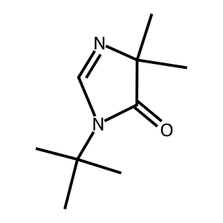 CC1(C)N=CN(C(C)(C)C)C1=O